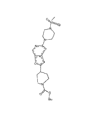 CC(C)(C)OC(=O)N1CCC(c2cc3cc(N4CCN(S(C)(=O)=O)CC4)ncc3o2)CC1